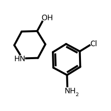 Nc1cccc(Cl)c1.OC1CCNCC1